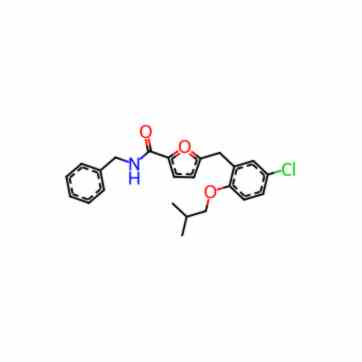 CC(C)COc1ccc(Cl)cc1Cc1ccc(C(=O)NCc2ccccc2)o1